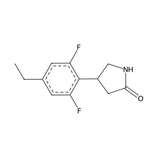 CCc1cc(F)c(C2CNC(=O)C2)c(F)c1